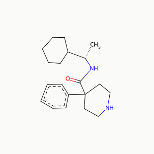 C[C@H](NC(=O)C1(c2ccccc2)CCNCC1)C1CCCCC1